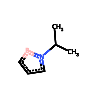 CC(C)n1bccc1